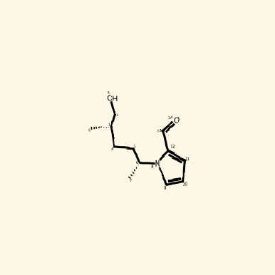 C[C@H](CO)CC[C@@H](C)n1cccc1C=O